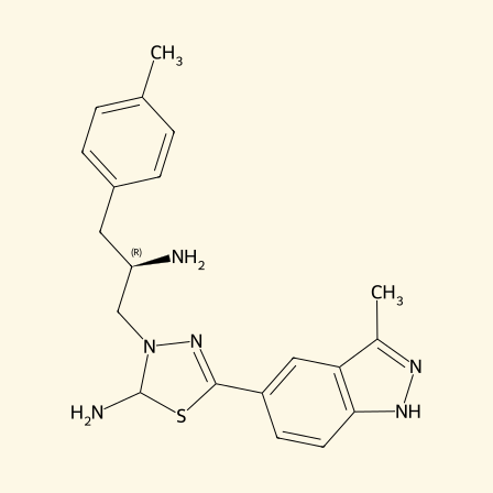 Cc1ccc(C[C@@H](N)CN2N=C(c3ccc4[nH]nc(C)c4c3)SC2N)cc1